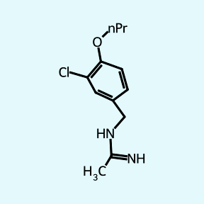 CCCOc1ccc(CNC(C)=N)cc1Cl